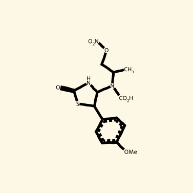 COc1ccc(C2SC(=O)NC2N(C(=O)O)C(C)CO[N+](=O)[O-])cc1